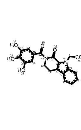 O=C(O)Cn1c2c(c3ccccc31)CCN(C(=O)c1cc(O)c(O)c(O)c1)C2=O